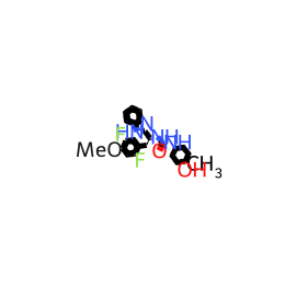 COc1cc(F)c(C[C@@H](NC(=O)N[C@H]2CC[C@@](C)(O)CC2)c2nc3ccccc3[nH]2)cc1F